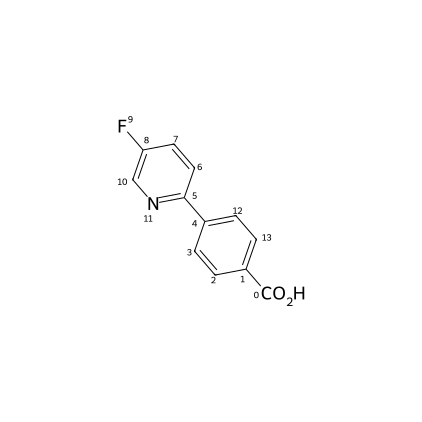 O=C(O)c1ccc(-c2ccc(F)cn2)cc1